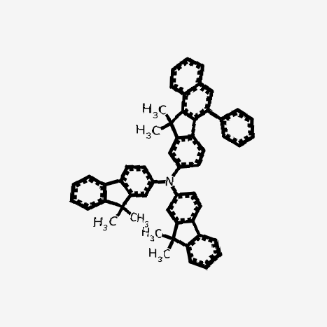 CC1(C)c2ccccc2-c2ccc(N(c3ccc4c(c3)C(C)(C)c3ccccc3-4)c3ccc4c(c3)C(C)(C)c3c-4c(-c4ccccc4)cc4ccccc34)cc21